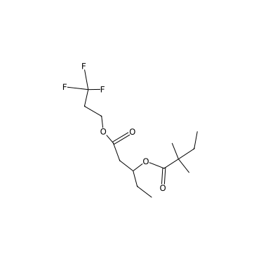 CCC(CC(=O)OCCC(F)(F)F)OC(=O)C(C)(C)CC